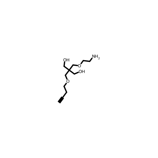 C#CCCOCC(CO)(CO)COCCN